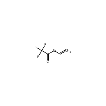 C=C[N]C(=O)C(F)(F)F